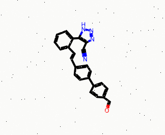 N#Cc1nn[nH]c1-c1ccccc1C=Cc1ccc(-c2ccc(C=O)cc2)cc1